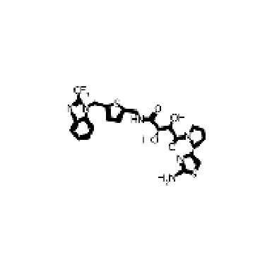 Nc1nc([C@H]2CCCN2C(=O)[C@H](O)[C@@H](O)C(=O)NCc2ccc(Cn3c(C(F)(F)F)nc4ccccc43)s2)cs1